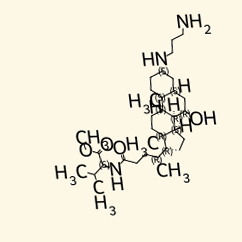 COC(=O)[C@@H](NC(=O)CC[C@@H](C)[C@H]1CC[C@H]2[C@@H]3[C@H](O)C[C@@H]4C[C@@H](NCCCN)CC[C@]4(C)[C@H]3CC[C@]12C)C(C)C